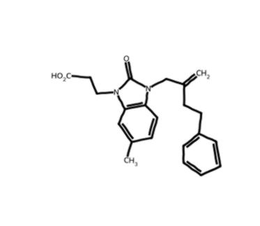 C=C(CCc1ccccc1)Cn1c(=O)n(CCC(=O)O)c2cc(C)ccc21